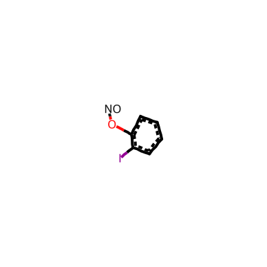 O=NOc1ccccc1I